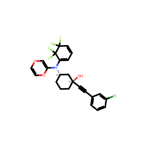 O[C@@]1(C#Cc2cccc(Cl)c2)CCC[C@H](N(C2=COC=CO2)C2=CC=CC(F)(F)C2(F)F)C1